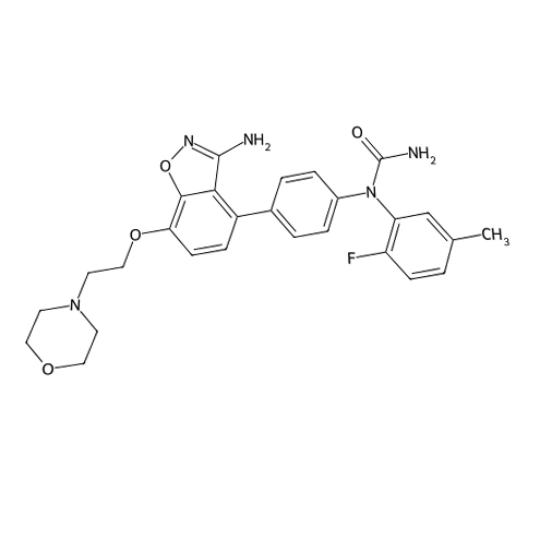 Cc1ccc(F)c(N(C(N)=O)c2ccc(-c3ccc(OCCN4CCOCC4)c4onc(N)c34)cc2)c1